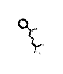 CC(C)=CCC[C@H](O)c1ccccc1